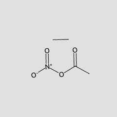 CC.CC(=O)O[N+](=O)[O-]